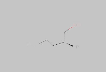 CCCCCCC[C@@H](CO)CCC